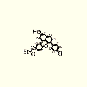 CCC(=O)Oc1ccc(Oc2c(-c3ccc(Cl)cc3)ccc3cc(O)ccc23)cc1